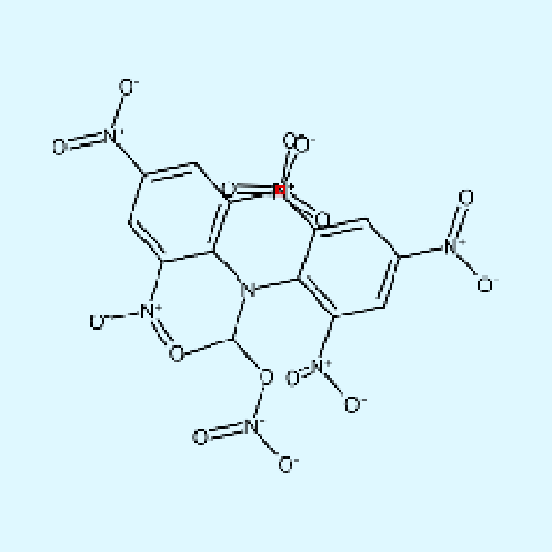 CC(O[N+](=O)[O-])N(c1c([N+](=O)[O-])cc([N+](=O)[O-])cc1[N+](=O)[O-])c1c([N+](=O)[O-])cc([N+](=O)[O-])cc1[N+](=O)[O-]